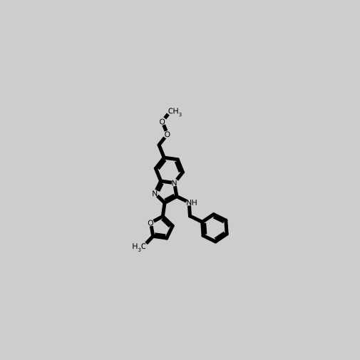 COOCc1ccn2c(NCc3ccccc3)c(-c3ccc(C)o3)nc2c1